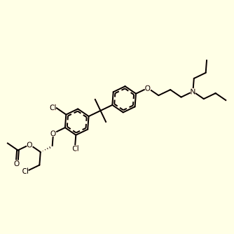 CCCN(CCC)CCCOc1ccc(C(C)(C)c2cc(Cl)c(OC[C@H](CCl)OC(C)=O)c(Cl)c2)cc1